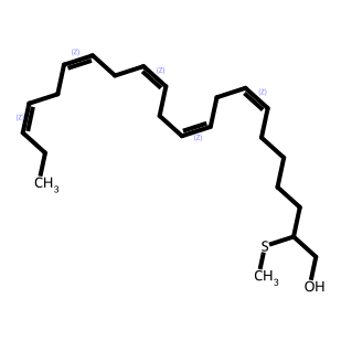 CC/C=C\C/C=C\C/C=C\C/C=C\C/C=C\CCCCC(CO)SC